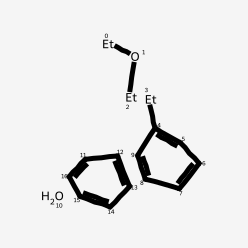 CCOCC.CCc1ccccc1.O.c1ccccc1